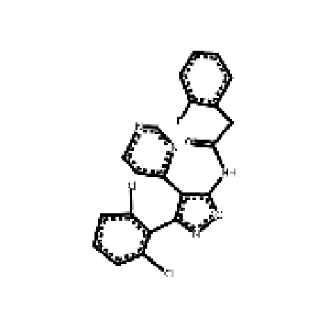 O=C(Cc1ccccc1F)Nc1onc(-c2c(Cl)cccc2Cl)c1-c1ccncn1